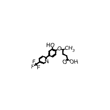 CC(CCC(=O)O)Oc1ccc(-c2ccc(C(F)(F)F)cn2)cc1O